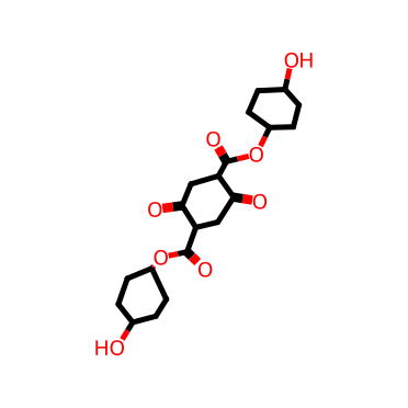 O=C1CC(C(=O)OC2CCC(O)CC2)C(=O)CC1C(=O)OC1CCC(O)CC1